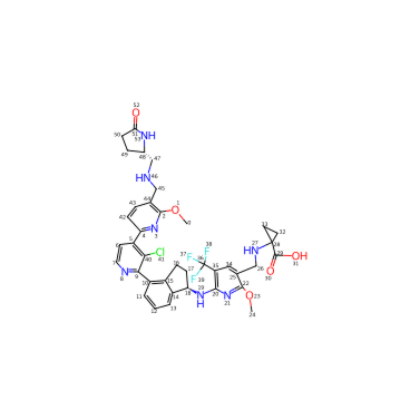 COc1nc(-c2ccnc(-c3cccc4c3CC[C@H]4Nc3nc(OC)c(CNC4(C(=O)O)CC4)cc3C(F)(F)F)c2Cl)ccc1CNC[C@@H]1CCC(=O)N1